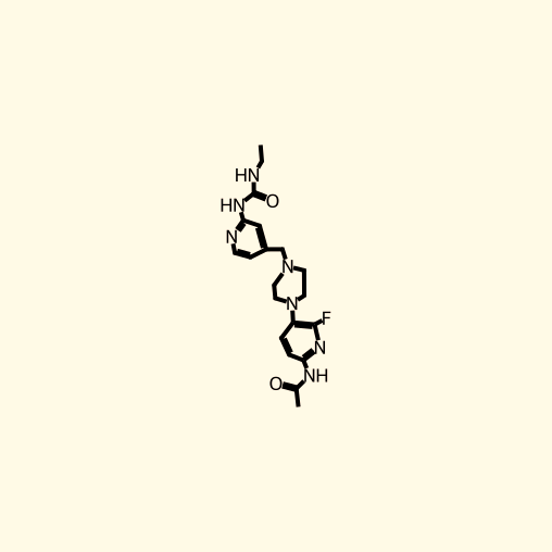 CCNC(=O)Nc1cc(CN2CCN(c3ccc(NC(C)=O)nc3F)CC2)ccn1